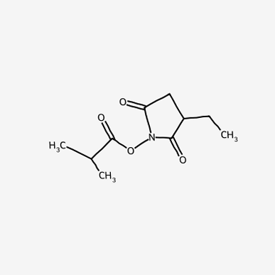 CCC1CC(=O)N(OC(=O)C(C)C)C1=O